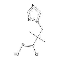 CC(C)(Cn1cncn1)C(Cl)=NO